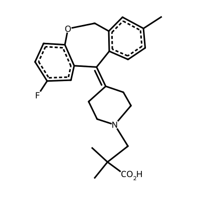 Cc1ccc2c(c1)COc1ccc(F)cc1C2=C1CCN(CC(C)(C)C(=O)O)CC1